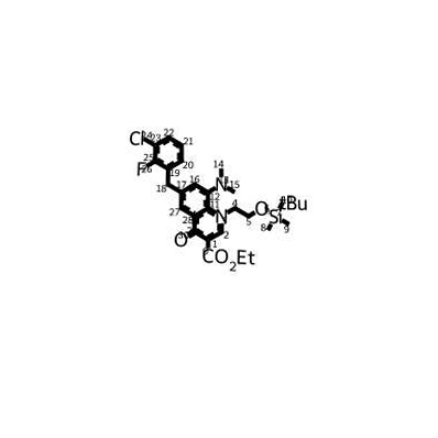 CCOC(=O)c1cn(CCO[Si](C)(C)C(C)(C)C)c2c(N(C)C)cc(Cc3cccc(Cl)c3F)cc2c1=O